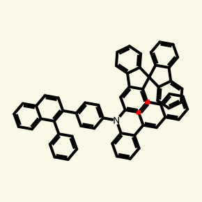 c1ccc(-c2c(-c3ccc(N(c4ccc5c(c4)-c4ccccc4C54c5ccccc5-c5ccccc54)c4ccccc4-c4ccc5ccccc5c4)cc3)ccc3ccccc23)cc1